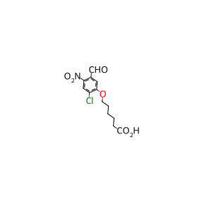 O=Cc1cc(OCCCCCC(=O)O)c(Cl)cc1[N+](=O)[O-]